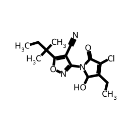 CCC1=C(Cl)C(=O)N(c2noc(C(C)(C)CC)c2C#N)C1O